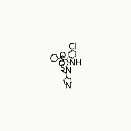 O=S(=O)(c1ccccc1)c1c(-c2nc(-c3ccncc3)cs2)[nH]c2ccc(Cl)cc12